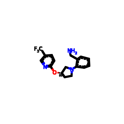 NCc1ccccc1N1CC[C@H](Oc2ccc(C(F)(F)F)cn2)C1